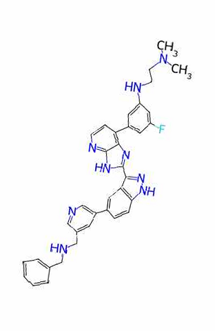 CN(C)CCNc1cc(F)cc(-c2ccnc3[nH]c(-c4n[nH]c5ccc(-c6cncc(CNCc7ccccc7)c6)cc45)nc23)c1